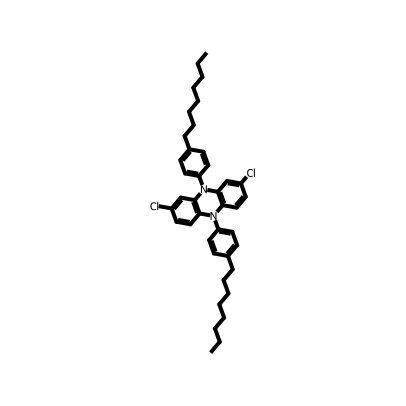 CCCCCCCCc1ccc(N2c3ccc(Cl)cc3N(c3ccc(CCCCCCCC)cc3)c3cc(Cl)ccc32)cc1